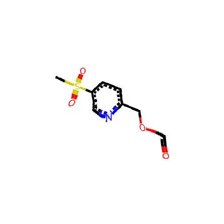 CS(=O)(=O)c1ccc(COC=O)nc1